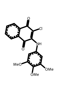 COc1cc(NC2=C(Cl)C(=O)c3ccccc3C2=O)cc(OC)c1OC